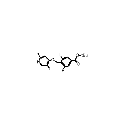 Cc1cc(OCc2c(F)cc(C(=O)OC(C)(C)C)cc2F)c(I)cn1